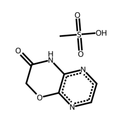 CS(=O)(=O)O.O=C1COc2nccnc2N1